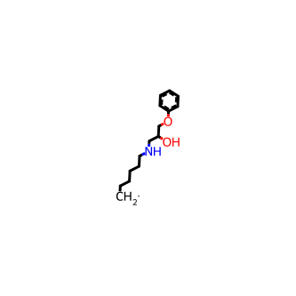 [CH2]CCCCCNCC(O)COc1ccccc1